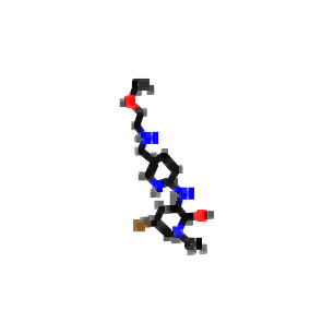 COCCNCc1ccc(Nc2cc(Br)cn(C)c2=O)nc1